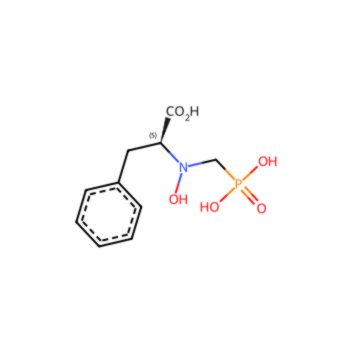 O=C(O)[C@H](Cc1ccccc1)N(O)CP(=O)(O)O